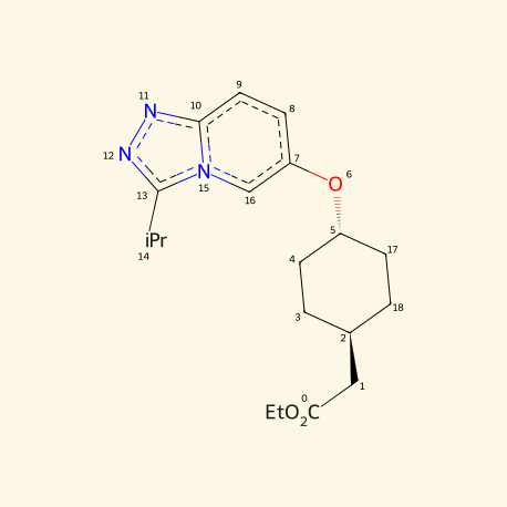 CCOC(=O)C[C@H]1CC[C@H](Oc2ccc3nnc(C(C)C)n3c2)CC1